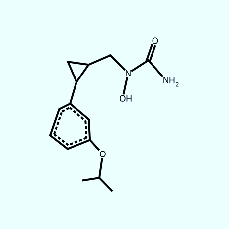 CC(C)Oc1cccc(C2CC2CN(O)C(N)=O)c1